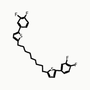 Fc1ccc(-c2ccc(CCCCCCCCCc3ccc(-c4ccc(F)c(F)c4)s3)s2)cc1F